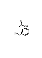 CC(=O)O.NNc1ccccc1